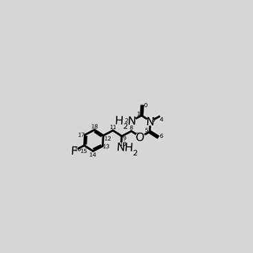 C=C(N)N(C)C(=C)OCC(N)Cc1ccc(F)cc1